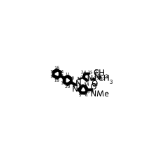 CNC(=O)c1ccc2nc(-c3ccc(-c4ccccc4)cc3)n(C[C@H]3CCN(C(=O)N(C)C)C3)c2c1